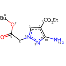 CCOC(=O)c1cn(CC(=O)OC(C)(C)C)nc1N